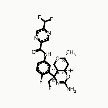 C[C@@H]1C[C@H]2OC(N)=N[C@](CF)(c3cc(NC(=O)c4cnc(C(F)F)cn4)ccc3F)[C@H]2CO1